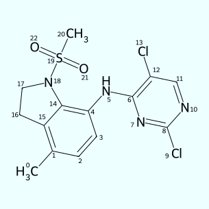 Cc1ccc(Nc2nc(Cl)ncc2Cl)c2c1CCN2S(C)(=O)=O